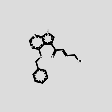 O=C(C=CCO)c1c[nH]c2ncnc(OCc3ccccc3)c12